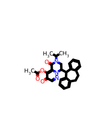 CC(=O)Oc1c2n(ncc1=O)C(C1c3ccccc3CCc3ccccc31)CN(C(C)C)C2=O